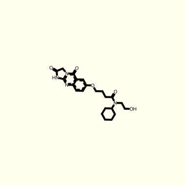 O=C1Cn2c(nc3ccc(OCCCC(=O)N(CCO)C4CCCCC4)cc3c2=O)N1